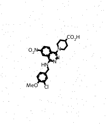 COc1ccc(CNc2nnc(N3CCC(C(=O)O)CC3)c3ccc([N+](=O)[O-])cc23)cc1Cl